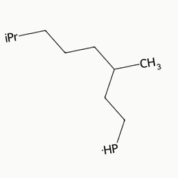 CC(C)CCCC(C)CC[PH]